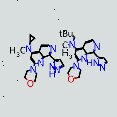 CN(CC(C)(C)C)c1cc(N2CCOCC2)nc2c(-c3ccn[nH]3)nccc12.CN(c1cc(N2CCOCC2)nc2c(-c3ccn[nH]3)nccc12)C1CC1